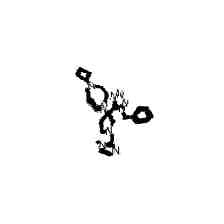 Cn1ccnc1CN1CCC(c2nnnn2Cc2ccccc2)(N2CCCN(C3CCC3)CC2)C1